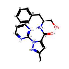 Cc1cc(C(=O)N[C@H](CO)Cc2ccccc2)n(-c2ncccn2)n1